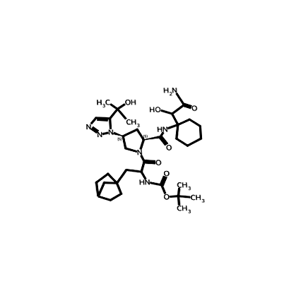 CC(C)(C)OC(=O)NC(CC12CCC(CC1)C2)C(=O)N1C[C@@H](n2nncc2C(C)(C)O)C[C@H]1C(=O)NC1(C(O)C(N)=O)CCCCC1